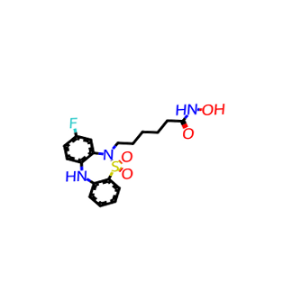 O=C(CCCCCN1c2cc(F)ccc2Nc2ccccc2S1(=O)=O)NO